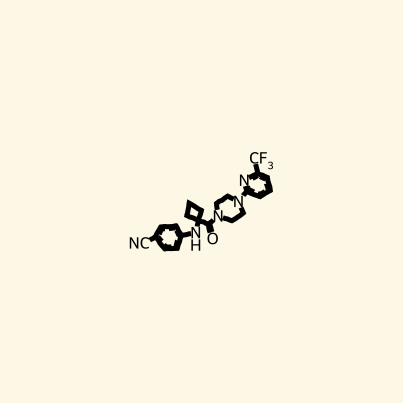 N#Cc1ccc(NC2(C(=O)N3CCN(c4cccc(C(F)(F)F)n4)CC3)CCC2)cc1